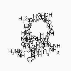 CSC[C@H](NC(=O)[C@H](CCCNC(=N)N)NC(=O)[C@H](CC1Cc2ccccc2N1)NC(=O)[C@H](C)NC(=O)[C@@H]1CSSC[C@H](NC(=O)CN)C(=O)N[C@@H](CSC)C(=O)N[C@@H](CO)C(=O)N[C@@H](CC(=O)O)C(=O)N2CCCC2C(=O)N[C@@H](CCCNC(=N)N)C(=O)N1)C(N)=O